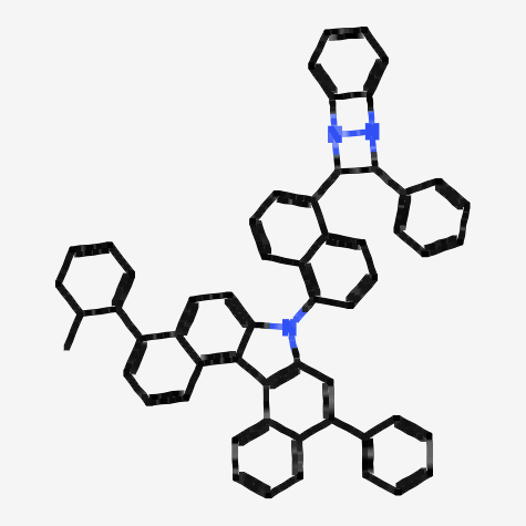 CC1CC=CC=C1c1cccc2c1ccc1c2c2c3ccccc3c(-c3ccccc3)cc2n1-c1cccc2c(C3C(c4ccccc4)n4c5ccccc5n43)cccc12